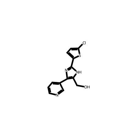 OCc1[nH]c(-c2ccc(Cl)s2)nc1-c1cccnc1